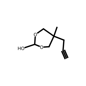 C#CCC1(C)COC(O)OC1